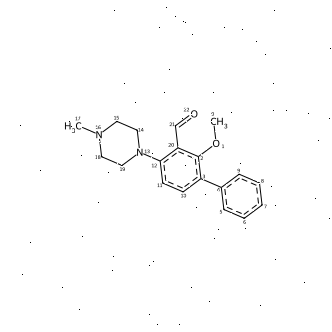 COc1c(-c2ccccc2)ccc(N2CCN(C)CC2)c1C=O